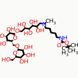 CN(CCCCCNC(=O)OC(C)(C)C)CC(O)[C@@H](O)[C@H](O)[C@H](O)CO[C@@H]1O[C@H](CO[C@@H]2O[C@H](CO)[C@@H](O)[C@H](O)[C@H]2O)[C@@H](O)[C@H](O)[C@H]1O